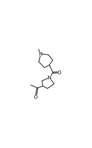 CC(=O)C1CCN(C(=O)C2CCN(C)CC2)C1